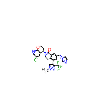 Cn1cc(-c2cc(Cn3ccnc3)cc3c2CCN(C2CCOc4ncc(Cl)cc42)C3=O)c(C(F)(F)F)n1